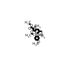 CCOC(=O)c1c(OC(C)C)c2nc(Nc3cccc(OC)c3)c(CC)cc2n1C